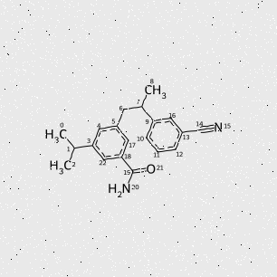 CC(C)c1cc(CC(C)c2cccc(C#N)c2)cc(C(N)=O)c1